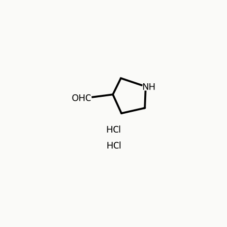 Cl.Cl.O=CC1CCNC1